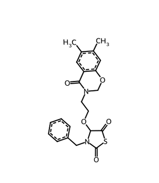 Cc1cc2c(cc1C)C(=O)N(CCOC1C(=O)SC(=O)N1Cc1ccccc1)CO2